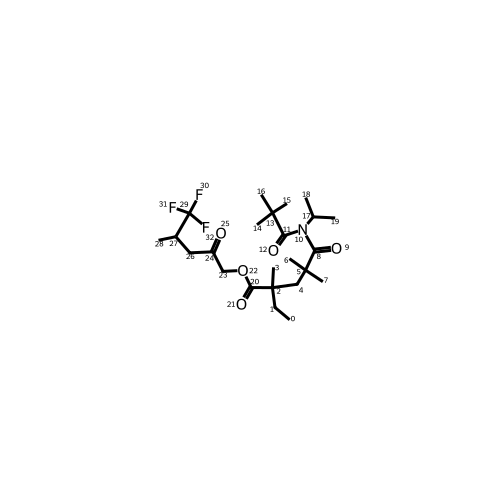 CCC(C)(CC(C)(C)C(=O)N(C(=O)C(C)(C)C)C(C)C)C(=O)OCC(=O)CC(C)C(F)(F)F